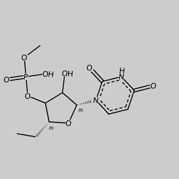 CC[C@H]1O[C@@H](n2ccc(=O)[nH]c2=O)C(O)C1OP(=O)(O)OC